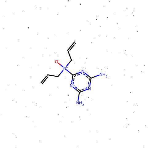 C=CC[N+]([O-])(CC=C)c1nc(N)nc(N)n1